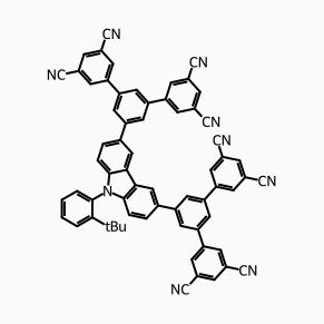 CC(C)(C)c1ccccc1-n1c2ccc(-c3cc(-c4cc(C#N)cc(C#N)c4)cc(-c4cc(C#N)cc(C#N)c4)c3)cc2c2cc(-c3cc(-c4cc(C#N)cc(C#N)c4)cc(-c4cc(C#N)cc(C#N)c4)c3)ccc21